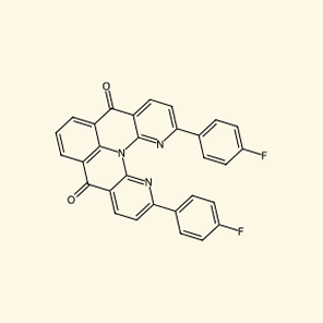 O=c1c2ccc(-c3ccc(F)cc3)nc2n2c3nc(-c4ccc(F)cc4)ccc3c(=O)c3cccc1c32